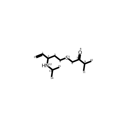 C=CC(CCSCC(=O)C(C)C)NC(C)C